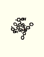 Cc1ccc(O)c(Cc2cc(C3(c4cc(C)c(OC(C)OCCOc5ccc(C6CCCCC6)cc5)c(Cc5cc(C)ccc5O)c4)CCCCC3)cc(C)c2OC(C)OCCOc2ccc(C3CCCCC3)cc2)c1